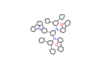 c1ccc(-c2cc(-c3ccccc3)cc(N(c3cc(-c4ccc5c(c4)c4cccc6c7ccccc7n5c64)cc(N(c4cc(-c5ccccc5)cc(-c5ccccc5)c4)c4cccc5c4oc4ccccc45)c3)c3cccc4c3oc3ccccc34)c2)cc1